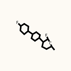 CC1CCC(C2CCC(C3CCC(F)CC3)CC2)C(F)C1